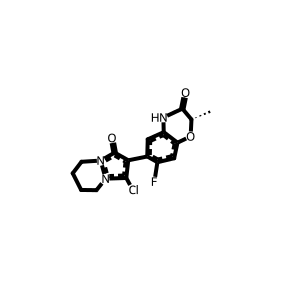 C[C@@H]1Oc2cc(F)c(-c3c(Cl)n4n(c3=O)CCCC4)cc2NC1=O